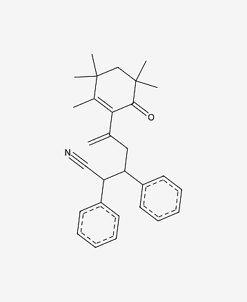 C=C(CC(c1ccccc1)C(C#N)c1ccccc1)C1=C(C)C(C)(C)CC(C)(C)C1=O